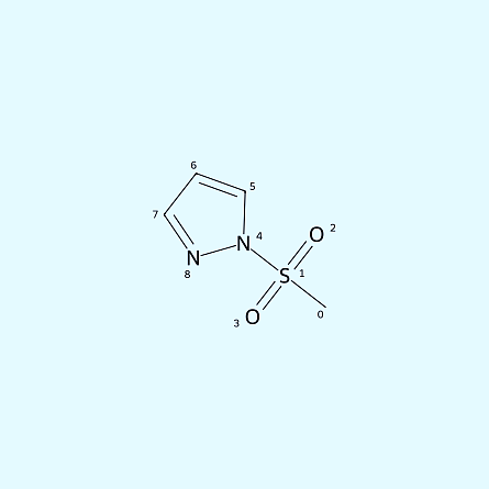 CS(=O)(=O)n1cccn1